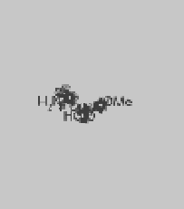 C=Cc1oc(-c2ccc(OC)cc2)nc1C(O)COc1ccc(F)c(C(N)=O)c1F